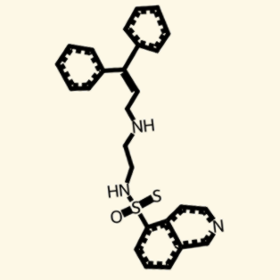 O=S(=S)(NCCNCC=C(c1ccccc1)c1ccccc1)c1cccc2cnccc12